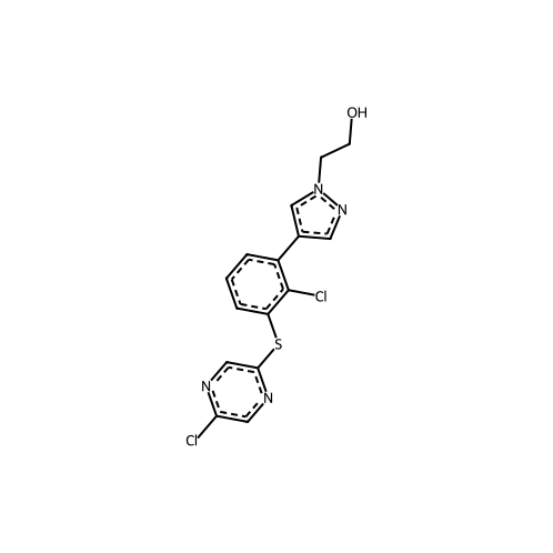 OCCn1cc(-c2cccc(Sc3cnc(Cl)cn3)c2Cl)cn1